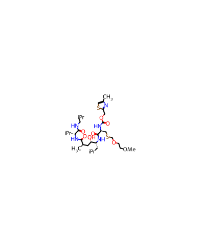 COCCOCSC[C@H](NC(=O)OCc1nc(C)cs1)C(=O)N[C@H](CC(C)C)[C@@H](O)C[C@@H](C)C(=O)N[C@@H](C(=O)NCC(C)C)C(C)C